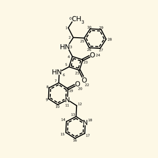 CCC(Nc1c(Nc2cccn(Cc3ccccn3)c2=O)c(=O)c1=O)c1ccccc1